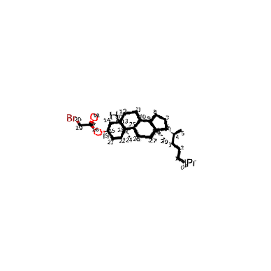 CC(C)CCCC(C)[C@H]1CCC2C3CC[C@H]4C[C@@H](OC(=O)CBr)CC[C@]4(C)C3CC[C@@]21C